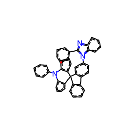 c1ccc(-c2nc3ccccc3n2-c2ccc3c(c2)C2(c4ccccc4-3)c3ccccc3N(c3ccccc3)c3ccccc32)cc1